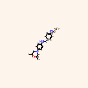 CC1CN(c2ccc(NC[C@@H]3C=CC(NSC(C)C)=CC3)cc2)CC(C)O1